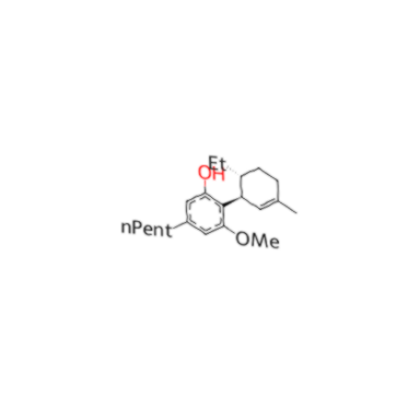 CCCCCc1cc(O)c([C@@H]2C=C(C)CC[C@H]2CC)c(OC)c1